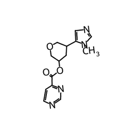 Cn1cncc1C1COCC(OC(=O)c2ccncn2)C1